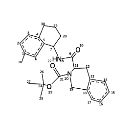 Cc1ccc2c(c1)C(NC(=O)C1Cc3ccccc3CN1C(=O)OC(C)(C)C)CCC2